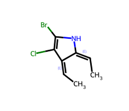 C/C=c1/[nH]c(Br)c(Cl)/c1=C/C